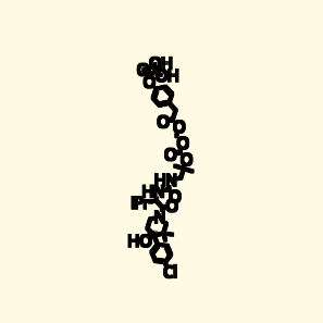 CC(C)C(NC(=O)NCC(C)(C)OC(=O)OCOC(=O)Cc1ccc(OP(=O)(O)O)cc1)C(=O)N1CC[C@](O)(c2ccc(Cl)cc2)C(C)(C)C1